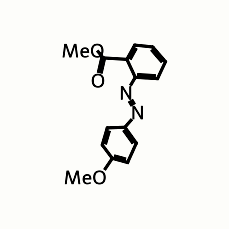 COC(=O)c1ccccc1N=Nc1ccc(OC)cc1